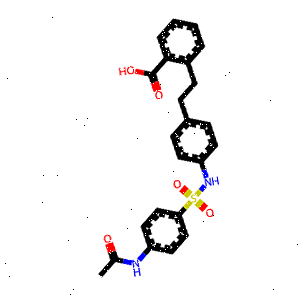 CC(=O)Nc1ccc(S(=O)(=O)Nc2ccc(CCc3ccccc3C(=O)O)cc2)cc1